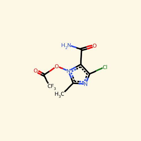 Cc1nc(Cl)c(C(N)=O)n1OC(=O)C(F)(F)F